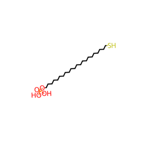 O=P(O)(O)OCCCCCCCCCCCCCCCCCCCCCCS